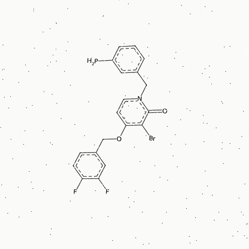 O=c1c(Br)c(OCc2ccc(F)c(F)c2)ccn1Cc1cccc(P)c1